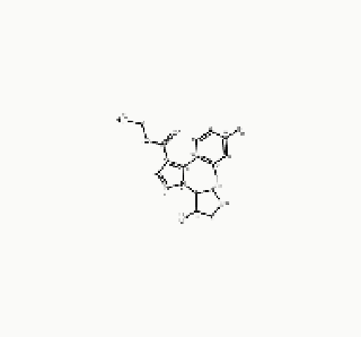 CCOC(=O)c1cnn(C2COCC2O)c1-c1ccc(Br)cc1F